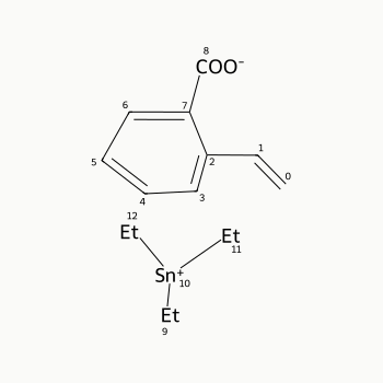 C=Cc1ccccc1C(=O)[O-].C[CH2][Sn+]([CH2]C)[CH2]C